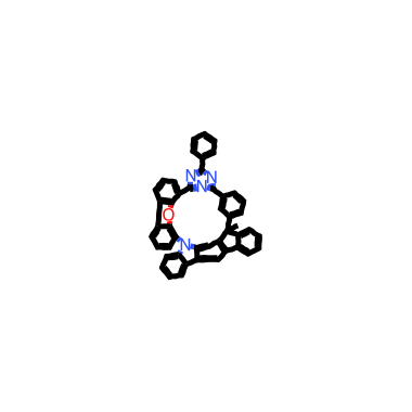 CC12c3cccc(c3)-c3nc(-c4ccccc4)nc(n3)-c3cccc4c3oc3c(cccc34)-n3c4ccccc4c4cc(c1cc43)-c1ccccc12